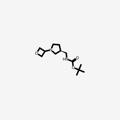 CC(C)(C)OC(=O)NC[C@@H]1CCN(C2COC2)C1